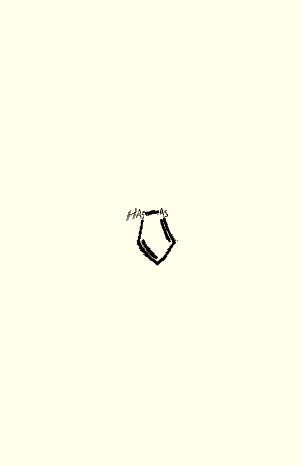 [C]1=[As][AsH]C=C1